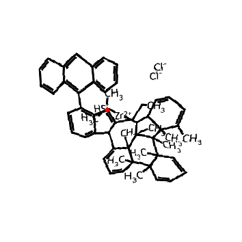 CCCC1=Cc2c(-c3c4ccccc4cc4ccccc34)cccc2C1C1=CC=CC2(C)C3(C)C=CC=CC3(C)C3(C)C4(C)C(C)=CC=CC4[CH]([Zr+2][SiH](C)C)C3(C)C12C.[Cl-].[Cl-]